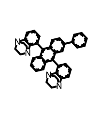 c1ccc(-c2ccc3c(-c4cccc5c4N4CCN5CC4)c4ccccc4c(-c4cccc5c4N4CCN5CC4)c3c2)cc1